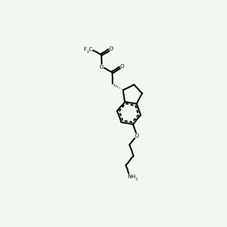 NCCCOc1ccc2c(c1)CC[C@H]2CC(=O)OC(=O)C(F)(F)F